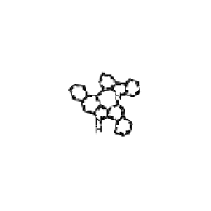 c1ccc2c(c1)cc1c3c2[nH]c2cc4ccccc4c(c4cccc5c6ccccc6n1c54)c23